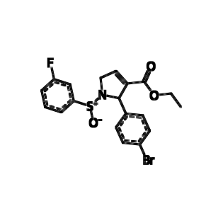 CCOC(=O)C1=CCN([S+]([O-])c2cccc(F)c2)C1c1ccc(Br)cc1